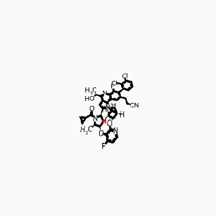 C[C@@H]1[C@@H](Oc2c(F)ccnc2Cl)C[C@H](c2cc3c([C@@H](C)O)nc4c(F)c(-c5cccc(Cl)c5Cl)c(CCC#N)cc4c3n2[C@H]2[C@H]3CN[C@@H]2C3)N1C(=O)C1CC1